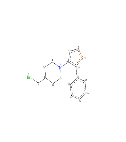 BrCC1CCN(c2ccsc2-c2ccccc2)CC1